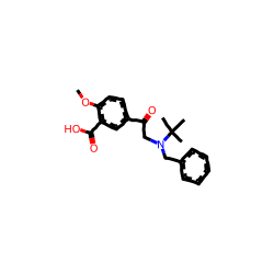 COc1ccc(C(=O)CN(Cc2ccccc2)C(C)(C)C)cc1C(=O)O